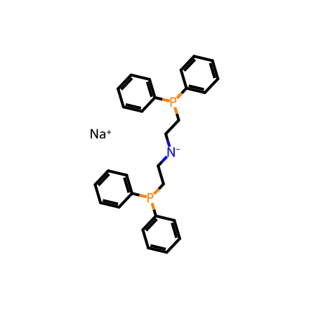 [Na+].c1ccc(P(CC[N-]CCP(c2ccccc2)c2ccccc2)c2ccccc2)cc1